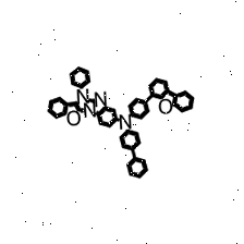 c1ccc(-c2ccc(N(c3ccc(-c4cccc5c4oc4ccccc45)cc3)c3ccc4c(c3)nc3n(-c5ccccc5)c5c6ccccc6oc5n43)cc2)cc1